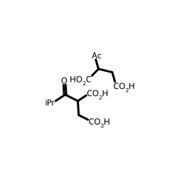 CC(=O)C(CC(=O)O)C(=O)O.CC(C)C(=O)C(CC(=O)O)C(=O)O